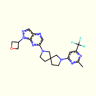 Cc1nc(N2CCC3(CCN(c4cnc5cnn(C6COC6)c5n4)C3)C2)cc(C(F)(F)F)n1